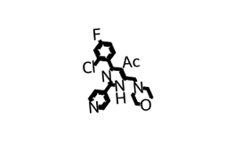 CC(=O)C1=C(CN2CCOCC2)NC(c2ccncc2)=NC1c1ccc(F)cc1Cl